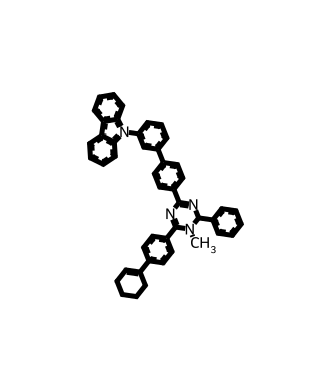 CN1C(c2ccc(C3=CCCCC3)cc2)=NC(c2ccc(-c3cccc(-n4c5ccccc5c5ccccc54)c3)cc2)=NC1c1ccccc1